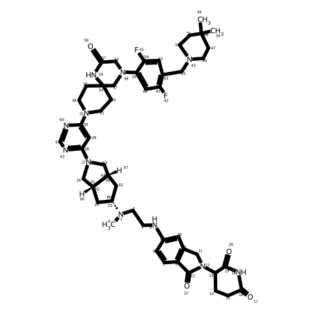 CN(CCNc1ccc2c(c1)CN(C1CCC(=O)NC1=O)C2=O)[C@@H]1C[C@@H]2CN(c3cc(N4CCC5(CC4)CN(c4cc(F)c(CN6CCC(C)(C)CC6)cc4F)CC(=O)N5)ncn3)C[C@@H]2C1